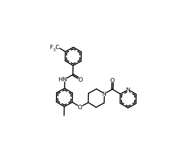 Cc1ccc(NC(=O)c2cccc(C(F)(F)F)c2)cc1OC1CCN(C(=O)c2ccccn2)CC1